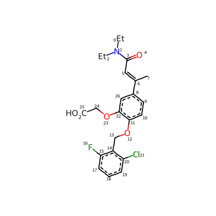 CCN(CC)C(=O)C=C(C)c1ccc(OCc2c(F)cccc2Cl)c(OCC(=O)O)c1